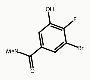 CNC(=O)c1cc(O)c(F)c(Br)c1